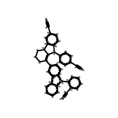 N#Cc1ccc(N2C3=C(c4ccc5c(c4)c4ccccc4n5-c4ccccc4C#N)CCCC3c3cc(C#N)ccc32)cc1